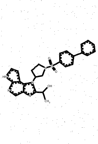 CC(O)c1nc2cnc3[nH]ccc3c2n1C1CCN(S(=O)(=O)c2ccc(-c3ccccc3)cc2)C1